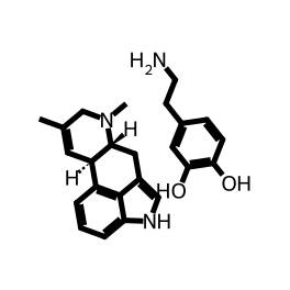 CC1=C[C@@H]2c3cccc4[nH]cc(c34)C[C@H]2N(C)C1.NCCc1ccc(O)c(O)c1